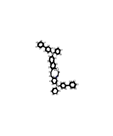 C1=CC(N(C2=C/C3=C/COc4cc5cc(N(c6ccccc6)c6ccc(-c7ccccc7)cc6)ccc5cc4CCC3C=C2)c2ccc(-c3ccccc3)cc2)CCC1